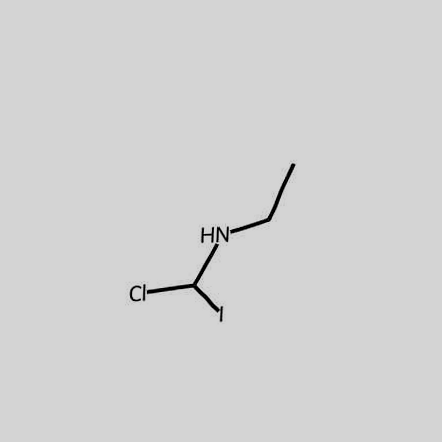 CCNC(Cl)I